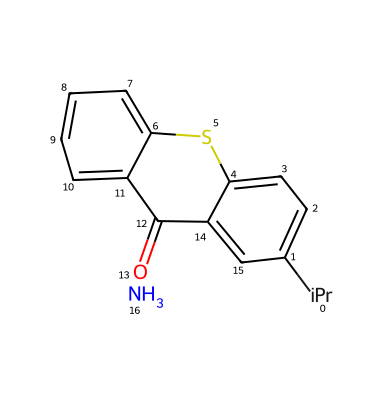 CC(C)c1ccc2sc3ccccc3c(=O)c2c1.N